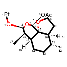 CCO[C@H]1O[C@H](OC(C)=O)[C@@]23OCC[C@H]2[C@H](C)CC[C@H]3[C@H]1C